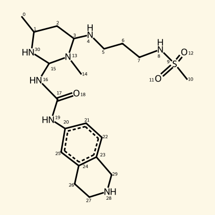 CC1CC(NCCCNS(C)(=O)=O)N(C)C(NC(=O)Nc2ccc3c(c2)CCNC3)N1